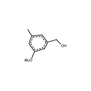 Cc1cc([CH]O)cc(OCC(C)C)c1